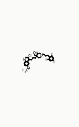 COc1ccc2ncc(Cl)c(CCCC3(CO)CCN(CCCc4c(F)cc(F)cc4F)CC3)c2c1